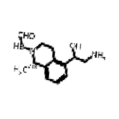 C[C@H]1c2cccc(C(O)CN)c2CCN1BC=O